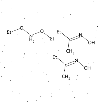 CCC(C)=NO.CCC(C)=NO.CCO[SiH2]OCC